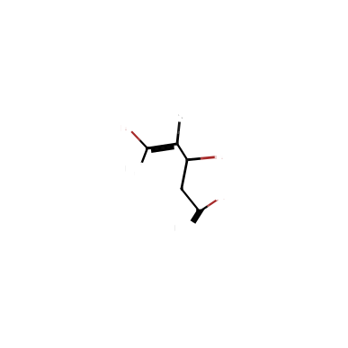 C=C(Br)CC(Br)/C(N=O)=C(\C)Br